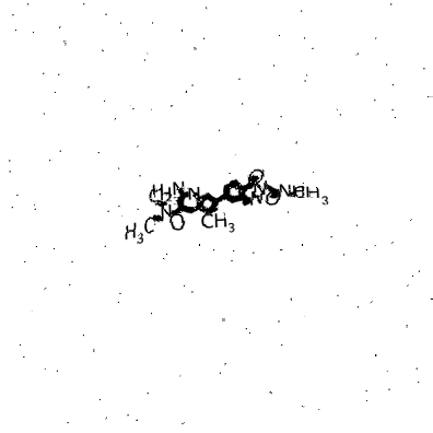 CCCN(CCC)C(=O)C1=Cc2c(C)cc(-c3ccc4c(=O)n(CC(=O)NCC)ncc4c3)cc2N=C(N)C1